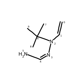 C=CN(/N=C\N)C(C)(C)C